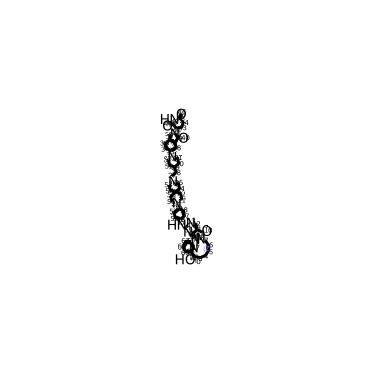 C[C@@]1(O)CC/C=C\Cn2c(=O)c3cnc(Nc4ccc(N5CCC6(CCN(CCC7CCN(c8ccc9c(c8)C(=O)N(C8CCC(=O)NC8=O)C9)CC7)CC6)CC5)cc4)nc3n2-c2cccc1n2